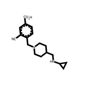 N#Cc1cc(C(=O)O)ccc1CN1CCC(CNC2CC2)CC1